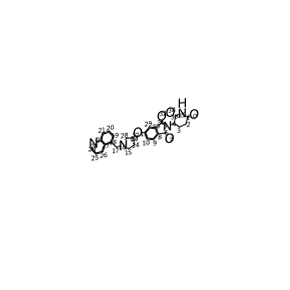 O=C1CCC(N2C(=O)c3ccc(O[C@H]4CCN(Cc5cccc6ncccc56)C4)cc3C2=O)C(=O)N1